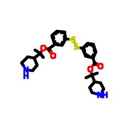 CC(C)(OC(=O)c1cccc(SSc2cccc(C(=O)OC(C)(C)C3CCNCC3)c2)c1)C1CCNCC1